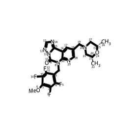 COc1c(F)c(F)c(Cn2c(=O)n3ncnc3c3cc(CN4C[C@@H](C)O[C@@H](C)C4)cnc32)c(F)c1F